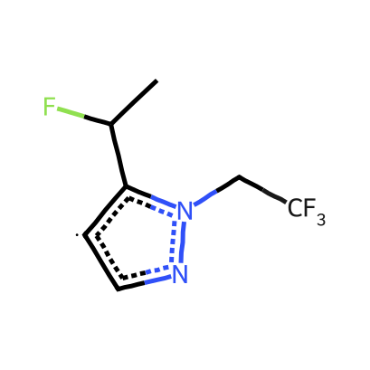 CC(F)c1[c]cnn1CC(F)(F)F